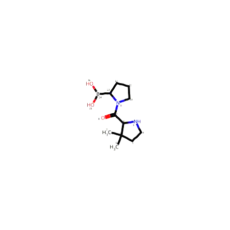 CC1(C)CCNC1C(=O)N1CCCC1B(O)O